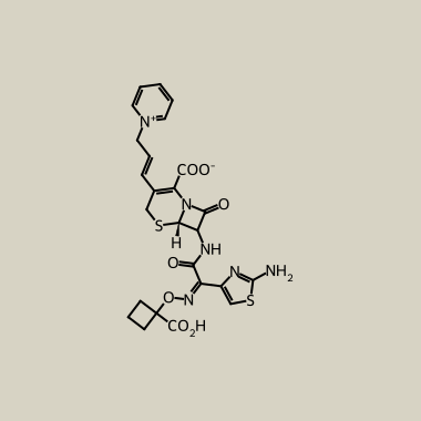 Nc1nc(/C(=N/OC2(C(=O)O)CCC2)C(=O)NC2C(=O)N3C(C(=O)[O-])=C(C=CC[n+]4ccccc4)CS[C@@H]23)cs1